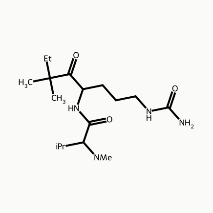 CCC(C)(C)C(=O)C(CCCNC(N)=O)NC(=O)C(NC)C(C)C